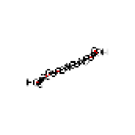 CC(C)(O)C(=O)c1ccc(OCCOC(=O)CCSCCOCCOCCSSCCOCCOCCSCCC(=O)OCCOc2ccc(C(=O)C(C)(C)O)cc2)cc1